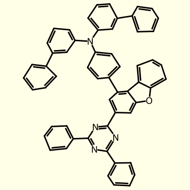 c1ccc(-c2cccc(N(c3ccc(-c4cc(-c5nc(-c6ccccc6)nc(-c6ccccc6)n5)cc5oc6ccccc6c45)cc3)c3cccc(-c4ccccc4)c3)c2)cc1